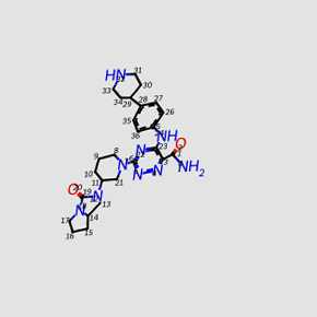 NC(=O)c1nnc(N2CCCC(N3CC4CCCN4C3=O)C2)nc1Nc1ccc(C2CCNCC2)cc1